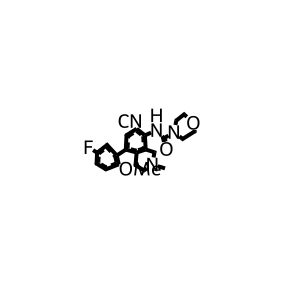 COc1ccc(F)cc1-c1cc(C#N)c(NC(=O)N2CCOCC2)c2c1CCN(C)C2